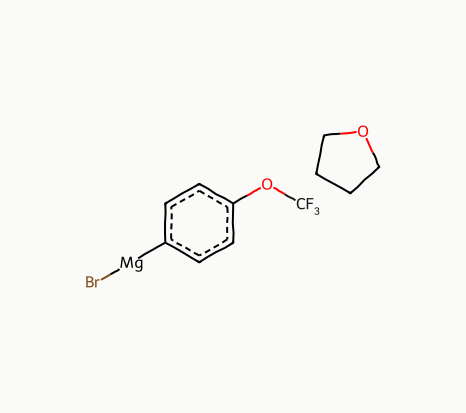 C1CCOC1.FC(F)(F)Oc1cc[c]([Mg][Br])cc1